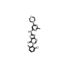 Cc1nc(Nc2nc3ncn(-c4c(C)cccc4Cl)c(=O)c3s2)cc(N2CCOCC2)n1